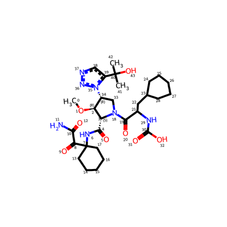 CO[C@@H]1[C@@H](C(=O)NC2(C(=O)C(N)=O)CCCCC2)N(C(=O)C(CC2CCCCC2)NC(=O)O)C[C@H]1n1nncc1C(C)(C)O